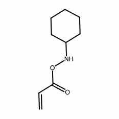 C=CC(=O)ONC1CCCCC1